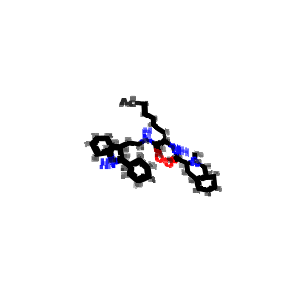 CC(=O)CCCCC[C@H](NC(=O)C1Cc2ccccc2CN1C)C(=O)NCCc1c(-c2ccccc2)[nH]c2ccccc12